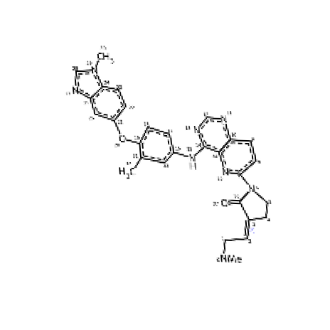 CNC/C=C1/CCN(c2ccc3ncnc(Nc4ccc(Oc5ccc6c(c5)ncn6C)c(C)c4)c3n2)C1=O